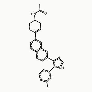 CC(=O)N[C@H]1CC=C(c2cnc3ccc(-c4nc[nH]c4-c4cccc(C)n4)cc3c2)CC1